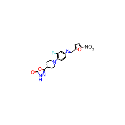 O=c1[nH]nc(C2CCN(c3ccc(N=Cc4ccc([N+](=O)[O-])o4)cc3F)CC2)o1